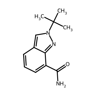 CC(C)(C)n1cc2cccc(C(N)=O)c2n1